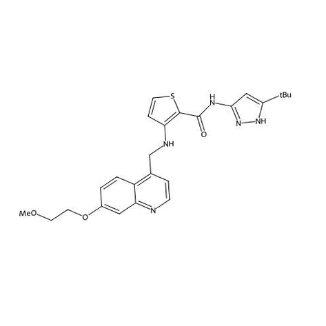 COCCOc1ccc2c(CNc3ccsc3C(=O)Nc3cc(C(C)(C)C)[nH]n3)ccnc2c1